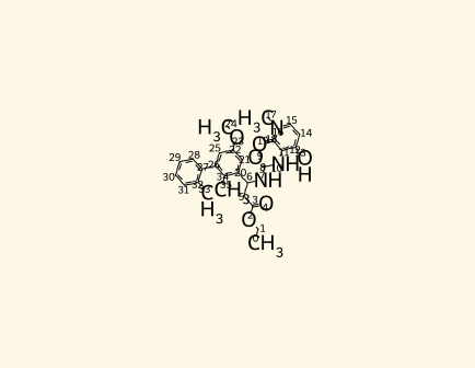 CCOC(=O)CC(NC(=O)Nc1c(O)ccn(C)c1=O)c1cc(OC)cc(-c2ccccc2C)c1C